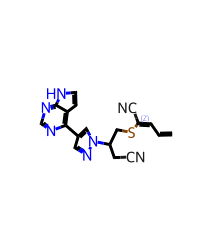 C=C/C=C(/C#N)SCC(CC#N)n1cc(-c2ncnc3[nH]ccc23)cn1